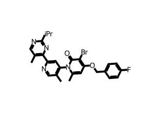 Cc1cnc(-c2nc(C(C)C)ncc2C)cc1-n1c(C)cc(OCc2ccc(F)cc2)c(Br)c1=O